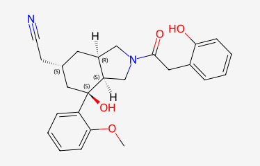 COc1ccccc1[C@]1(O)C[C@H](CC#N)C[C@H]2CN(C(=O)Cc3ccccc3O)C[C@H]21